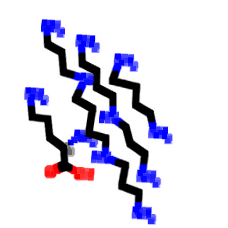 NCCCCN.NCCCCNCCCN.NCCCNCCCCNCCCN.NCCC[C@H](N)C(=O)O